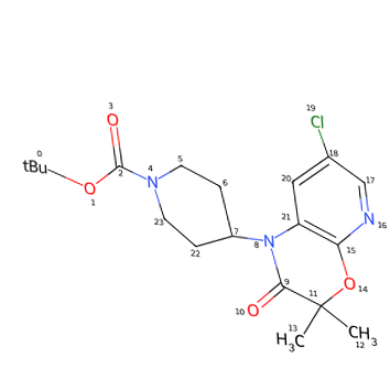 CC(C)(C)OC(=O)N1CCC(N2C(=O)C(C)(C)Oc3ncc(Cl)cc32)CC1